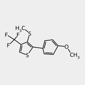 COc1ccc(-c2scc(C(F)(F)F)c2SC)cc1